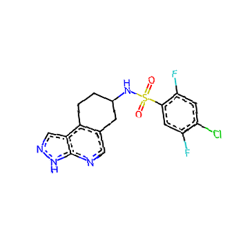 O=S(=O)(NC1CCc2c(cnc3[nH]ncc23)C1)c1cc(F)c(Cl)cc1F